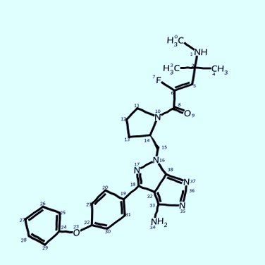 CNC(C)(C)C=C(F)C(=O)N1CCC[C@@H]1Cn1nc(-c2ccc(Oc3ccccc3)cc2)c2c(N)ncnc21